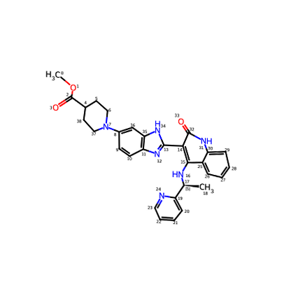 COC(=O)C1CCN(c2ccc3nc(-c4c(N[C@@H](C)c5ccccn5)c5ccccc5[nH]c4=O)[nH]c3c2)CC1